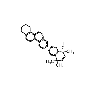 CC1(C)C=CC(C)(C)c2ccccc21.c1ccc2c(c1)ccc1c3c(ccc12)CCCC3